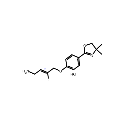 CC1(C)COC(c2ccc(OC/C(F)=C/CN)cc2)=N1.Cl